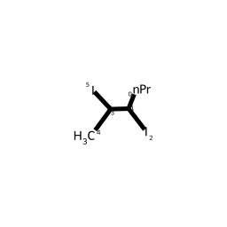 CCCC(I)[C](C)I